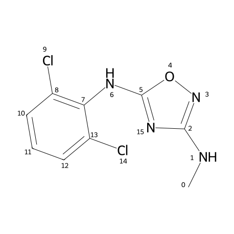 CNc1noc(Nc2c(Cl)cccc2Cl)n1